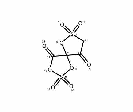 O=C1CS(=O)(=O)OC12OS(=O)(=O)OC2=O